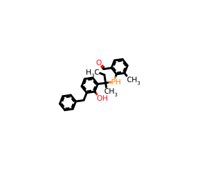 CCC(C)(Pc1c(C)cccc1C=O)c1cccc(Cc2ccccc2)c1O